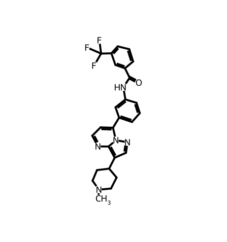 CN1CCC(c2cnn3c(-c4cccc(NC(=O)c5cccc(C(F)(F)F)c5)c4)ccnc23)CC1